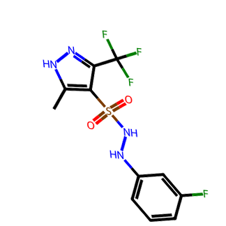 Cc1[nH]nc(C(F)(F)F)c1S(=O)(=O)NNc1cccc(F)c1